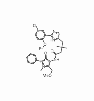 CCOc1ccc(Cl)cc1-c1nnc(CC(C)(C)CC(=O)Nc2c(COC)n(C)n(-c3ccccc3)c2=O)[nH]1